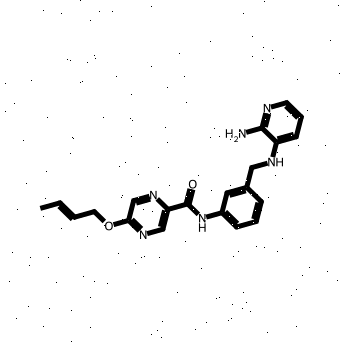 C/C=C/COc1cnc(C(=O)Nc2cccc(CNc3cccnc3N)c2)cn1